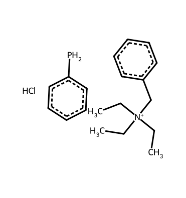 CC[N+](CC)(CC)Cc1ccccc1.Cl.Pc1ccccc1